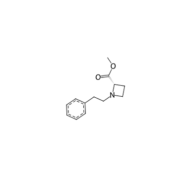 COC(=O)[C@@H]1CCN1CCc1ccccc1